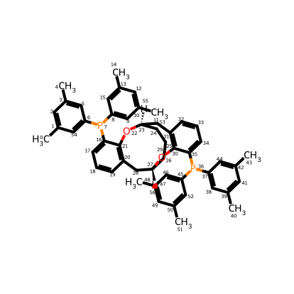 Cc1cc(C)cc(P(c2cc(C)cc(C)c2)c2cccc3c2O[C@@H]2CCC[C@H](C3)Oc3c(cccc3P(c3cc(C)cc(C)c3)c3cc(C)cc(C)c3)C2)c1